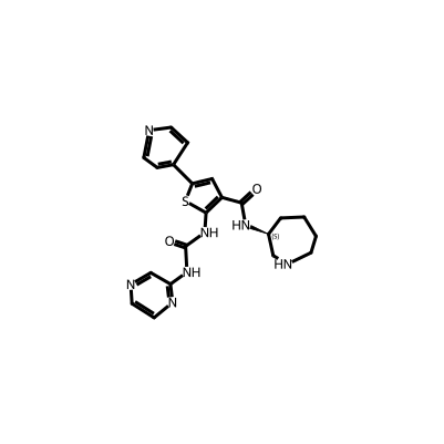 O=C(Nc1cnccn1)Nc1sc(-c2ccncc2)cc1C(=O)N[C@H]1CCCCNC1